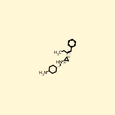 CC/C(=C\c1ccccc1)[C@@H]1C[C@H]1NC[C@H]1CC[C@H](N)CC1